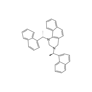 C[C@H](c1cccc2ccccc12)N1Cc2ccc3ccccc3c2N([C@@H](C)c2cccc3ccccc23)C1